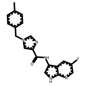 Cc1ccc(Cn2cnc(C(=O)Nc3c[nH]c4ncc(F)cc34)c2)cc1